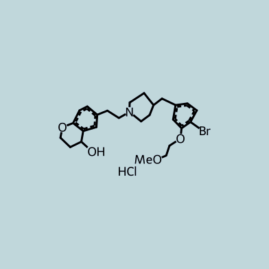 COCCOc1cc(CC2CCN(CCc3ccc4c(c3)C(O)CCO4)CC2)ccc1Br.Cl